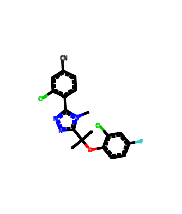 Cn1c(-c2ccc(C#N)cc2Cl)nnc1C(C)(C)Oc1ccc(F)cc1Cl